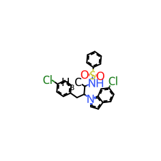 CC(NS(=O)(=O)c1ccccc1)C(Cc1ccc(Cl)cc1)n1ccc2ccc(Cl)cc21